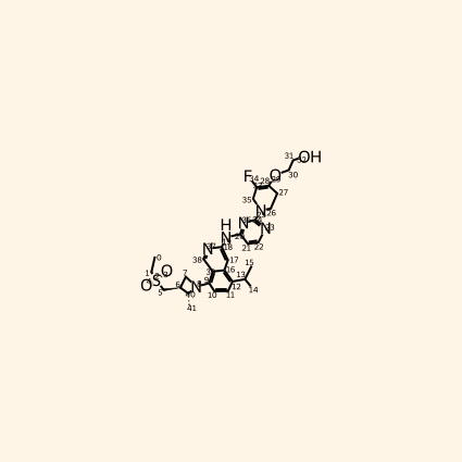 CCS(=O)(=O)C[C@H]1CN(c2ccc(C(C)C)c3cc(Nc4ccnc(N5CCC(OCCO)=C(F)C5)n4)ncc23)[C@@H]1C